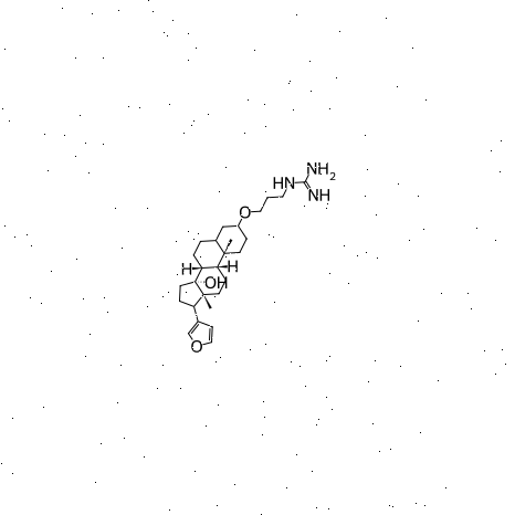 C[C@]12CCC(OCCCNC(=N)N)CC1CC[C@@H]1[C@H]2CC[C@]2(C)C(c3ccoc3)CC[C@@]12O